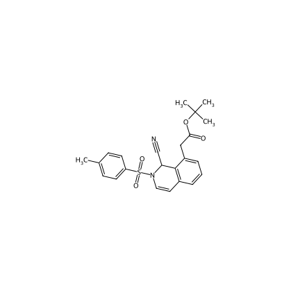 Cc1ccc(S(=O)(=O)N2C=Cc3cccc(CC(=O)OC(C)(C)C)c3C2C#N)cc1